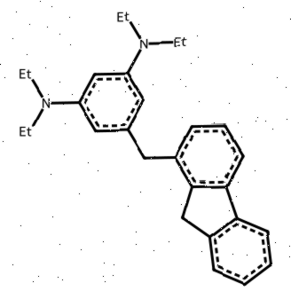 CCN(CC)c1cc(Cc2cccc3c2Cc2ccccc2-3)cc(N(CC)CC)c1